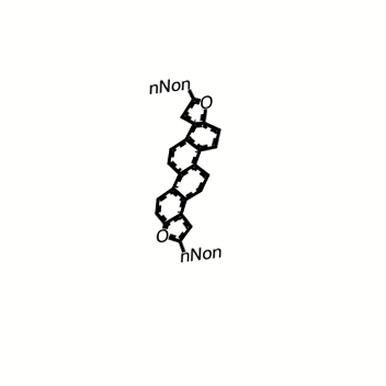 CCCCCCCCCc1cc2c(ccc3c2ccc2c4ccc5oc(CCCCCCCCC)cc5c4ccc32)o1